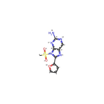 CS(=O)(=O)n1c(-c2ccco2)nc2cnc(N)nc21